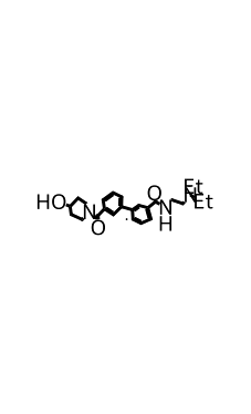 CCN(CC)CCNC(=O)c1cc[c]c(-c2cccc(C(=O)N3CCC(O)CC3)c2)c1